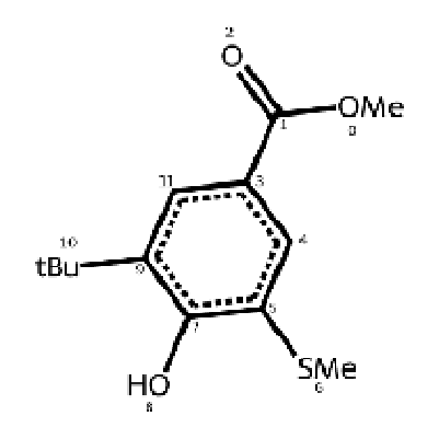 COC(=O)c1cc(SC)c(O)c(C(C)(C)C)c1